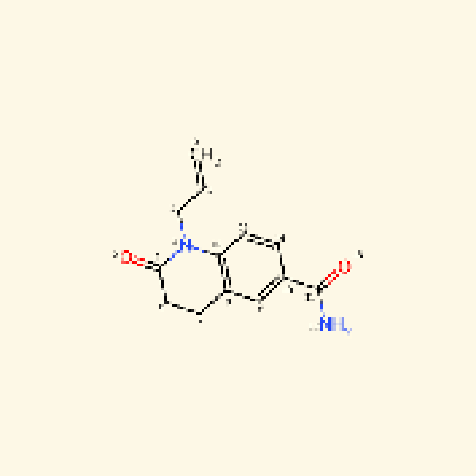 C=CCN1C(=O)CCc2cc(C(N)=O)ccc21